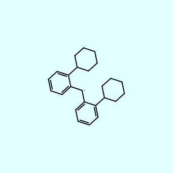 [CH](c1ccccc1C1CCCCC1)c1ccccc1C1CCCCC1